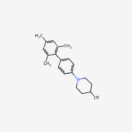 Cc1cc(C)c(-c2ccc(N3CCC(C#N)CC3)cc2)c(C)c1